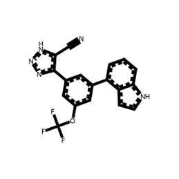 N#Cc1[nH]nnc1-c1cc(OC(F)(F)F)cc(-c2cccc3[nH]ccc23)c1